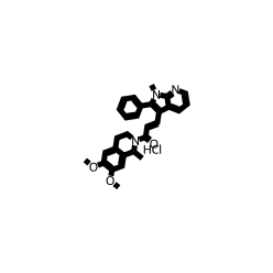 COc1cc2c(cc1OC)C(C)N(C(=O)C=Cc1c(-c3ccccc3)n(C)c3ncccc13)CC2.Cl